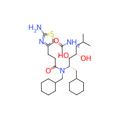 CC(C)C[C@H](O)[C@H](O)[C@H](CC1CCCCC1)N(CC1CCCCC1)C(=O)[C@@H](CC(N)=O)Cc1csc(N)n1